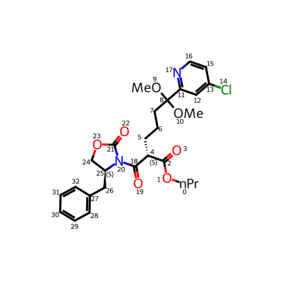 CCCOC(=O)[C@@H](CCCC(OC)(OC)c1cc(Cl)ccn1)C(=O)N1C(=O)OC[C@@H]1Cc1ccccc1